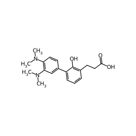 CN(C)c1ccc(-c2cccc(CCC(=O)O)c2O)cc1N(C)C